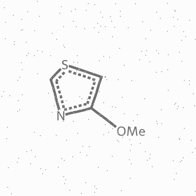 COc1[c]scn1